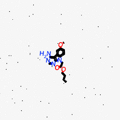 CCCCOC(=O)Cn1c2ccc(OC)cc2c2c(N)ncnc21